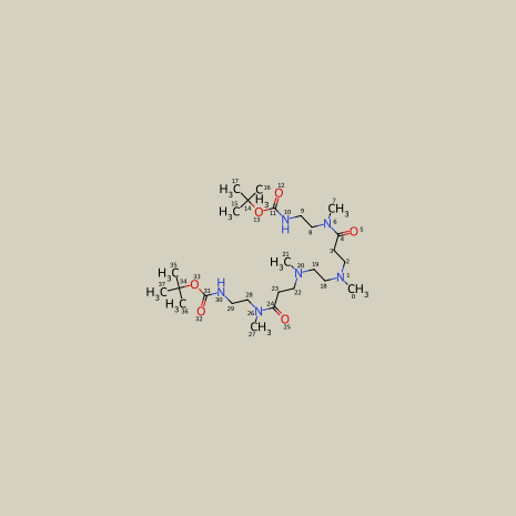 CN(CCC(=O)N(C)CCNC(=O)OC(C)(C)C)CCN(C)CCC(=O)N(C)CCNC(=O)OC(C)(C)C